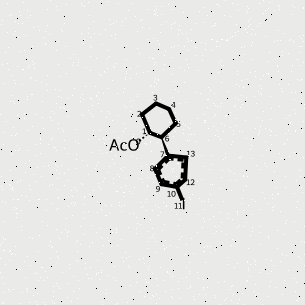 CC(=O)O[C@@H]1CCCC[C@H]1c1ccc(I)cc1